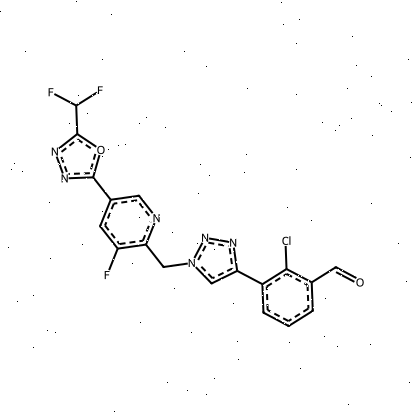 O=Cc1cccc(-c2cn(Cc3ncc(-c4nnc(C(F)F)o4)cc3F)nn2)c1Cl